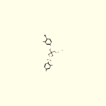 N#Cc1ccc(OCC2(CN=[N+]=[N-])CN(S(=O)(=O)c3ccc(Cl)cc3Cl)C2)cc1F